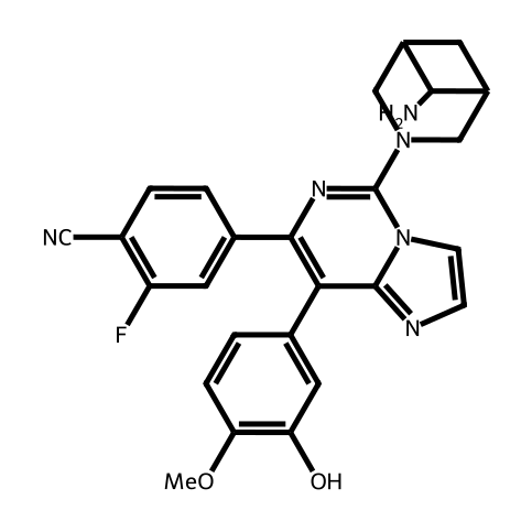 COc1ccc(-c2c(-c3ccc(C#N)c(F)c3)nc(N3CC4CC(C3)C4N)n3ccnc23)cc1O